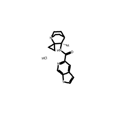 Cl.O=C(N[C@@H]1C2CCN(CC2)C12CC2)c1cc2ccsc2cn1